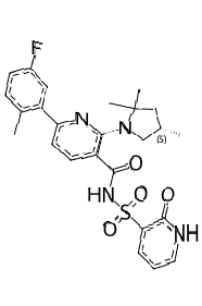 Cc1ccc(F)cc1-c1ccc(C(=O)NS(=O)(=O)c2ccc[nH]c2=O)c(N2C[C@@H](C)CC2(C)C)n1